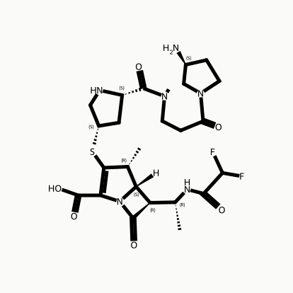 C[C@@H](NC(=O)C(F)F)[C@H]1C(=O)N2C(C(=O)O)=C(S[C@@H]3CN[C@H](C(=O)N(C)CCC(=O)N4CC[C@H](N)C4)C3)[C@H](C)[C@H]12